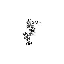 COC1C[C@H]2[C@@H]3CC[C@H]([C@H](C)CCc4ncccc4OCCO)[C@@]3(C)CC[C@@H]2[C@@]2(C)CC[C@@H]3CC132